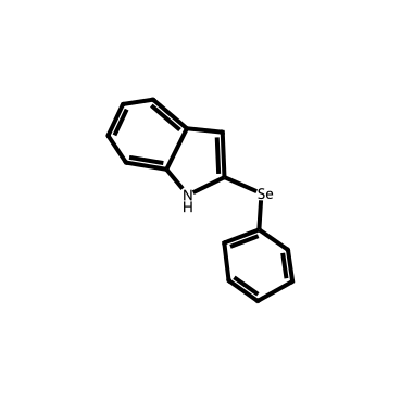 c1ccc([Se]c2cc3ccccc3[nH]2)cc1